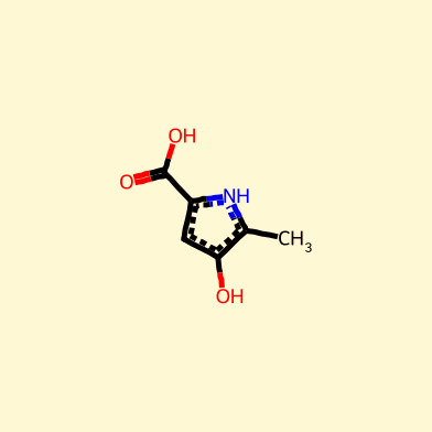 Cc1[nH]c(C(=O)O)cc1O